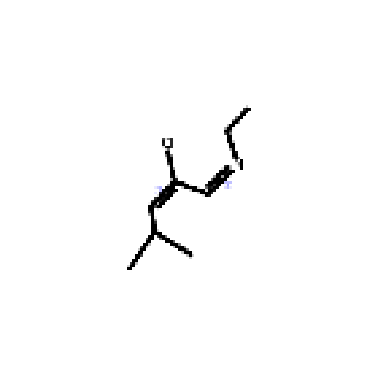 CC/N=C\C(Cl)=C/C(C)C